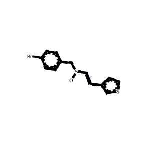 [O-][S+](/C=C/c1ccsc1)Cc1ccc(Br)cc1